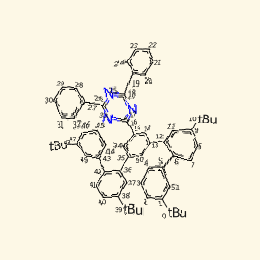 CC(C)(C)c1cccc(-c2ccc(C(C)(C)C)cc2-c2cc(-c3nc(-c4ccccc4)nc(-c4ccccc4)n3)cc(-c3cc(C(C)(C)C)ccc3-c3cccc(C(C)(C)C)c3)c2)c1